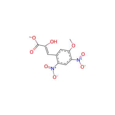 COC(=O)/C(O)=C/c1cc(OC)c([N+](=O)[O-])cc1[N+](=O)[O-]